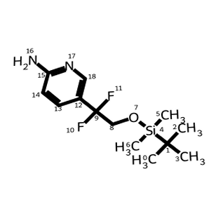 CC(C)(C)[Si](C)(C)OCC(F)(F)c1ccc(N)nc1